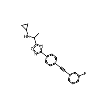 CC(NC1CC1)c1nc(-c2ccc(C#Cc3cccc(F)c3)cc2)no1